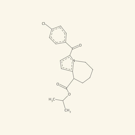 CC(C)OC(=O)C1CCCCn2c(C(=O)c3ccc(Cl)cc3)ccc21